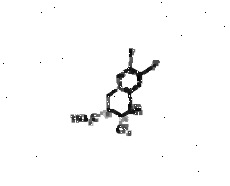 O=C(O)[C@@H]1Cc2cc(F)c(F)cc2N[C@@H]1C(F)(F)F